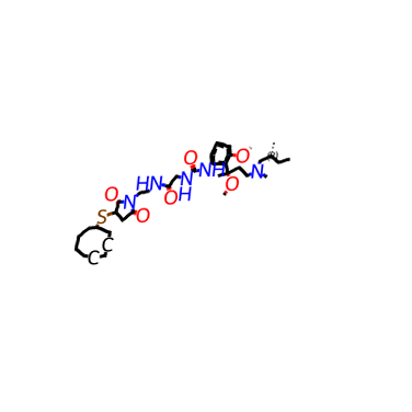 CC[C@@H](C)CN(C)CCC(C)(OC)c1c(NC(=O)NCC(=O)NCCN2C(=O)CC(SC3CCCCCCCC3)C2=O)cccc1OC